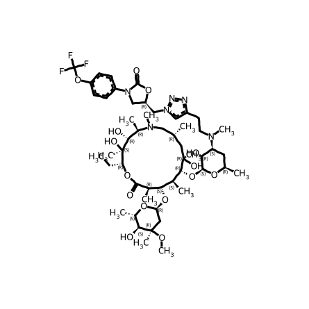 CC[C@H]1OC(=O)[C@H](C)[C@@H](O[C@H]2C[C@@](C)(OC)[C@@H](O)[C@H](C)O2)[C@H](C)[C@@H](O[C@@H]2O[C@H](C)C[C@H](N(C)CCc3cn(C[C@H]4CN(c5ccc(OC(F)(F)F)cc5)C(=O)O4)nn3)[C@H]2O)[C@](C)(O)C[C@@H](C)CN(C)[C@H](C)[C@@H](O)[C@]1(C)O